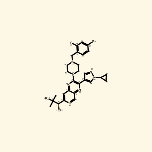 CC(C)(O)[C@H](O)c1cc2nc(N3CCN(Cc4ccc(F)cc4F)CC3)c(-c3cnn(C4CC4)c3)nc2cn1